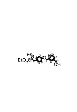 CCOC(=O)[C@H](Cc1ccc(OCc2cc(CO)ccn2)cc1)OCC